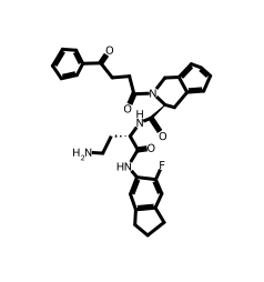 NCC[C@H](NC(=O)[C@@H]1Cc2ccccc2CN1C(=O)CCC(=O)c1ccccc1)C(=O)Nc1cc2c(cc1F)CCC2